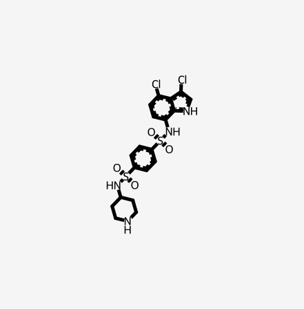 O=S(=O)(Nc1ccc(Cl)c2c(Cl)c[nH]c12)c1ccc(S(=O)(=O)NC2CCNCC2)cc1